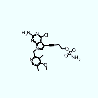 COc1c(C)cnc(Cn2cc(C#CCCOS(N)(=O)=O)c3c(Cl)nc(N)nc32)c1C